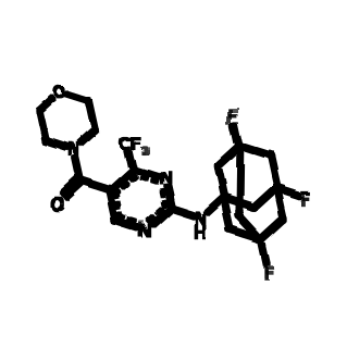 O=C(c1cnc(NC23CC4(F)CC(F)(CC(F)(C4)C2)C3)nc1C(F)(F)F)N1CCOCC1